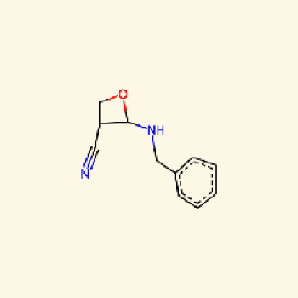 N#CC1COC1NCc1ccccc1